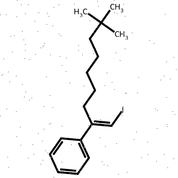 CC(C)(C)CCCCC/C(=C\I)c1ccccc1